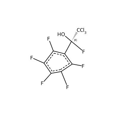 O[C@@](F)(c1c(F)c(F)c(F)c(F)c1F)C(Cl)(Cl)Cl